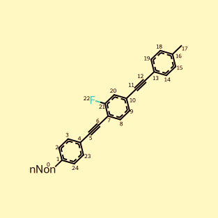 CCCCCCCCCc1ccc(C#Cc2ccc(C#Cc3ccc(C)cc3)cc2F)cc1